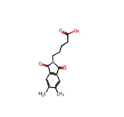 Cc1cc2c(cc1C)C(=O)N(CCCCC(=O)O)C2=O